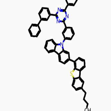 CCCCc1ccc2sc3c(-c4ccc5c6ccccc6n(-c6cccc(-c7nc(-c8ccccc8)nc(-c8cccc(-c9ccccc9)c8)n7)c6)c5c4)cccc3c2c1